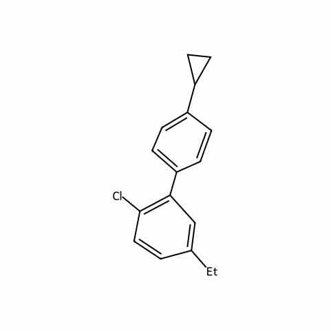 CCc1ccc(Cl)c(-c2ccc(C3CC3)cc2)c1